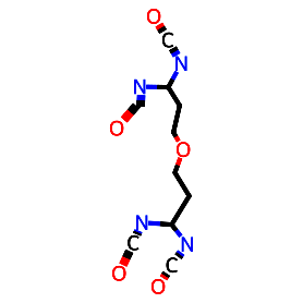 O=C=NC(CCOCCC(N=C=O)N=C=O)N=C=O